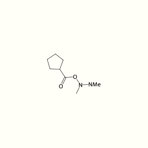 CNN(C)OC(=O)C1CCCC1